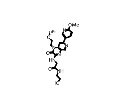 CCCOCCn1c(=O)c(NCC(=O)NCCO)nc2cnc(-c3ccc(OC)nc3)cc21